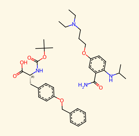 CC(C)(C)OC(=O)N[C@H](Cc1ccc(OCc2ccccc2)cc1)C(=O)O.CCN(CC)CCCOc1ccc(NC(C)C)c(C(N)=O)c1